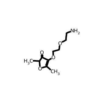 CC1=C(OCCOCCN)C(=O)C(C)O1